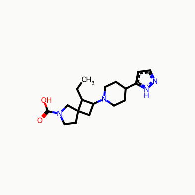 CCC1C(N2CCC(c3ccn[nH]3)CC2)CC12CCN(C(=O)O)C2